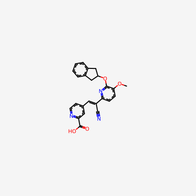 COc1ccc(C(C#N)=Cc2ccnc(C(=O)O)c2)nc1OC1Cc2ccccc2C1